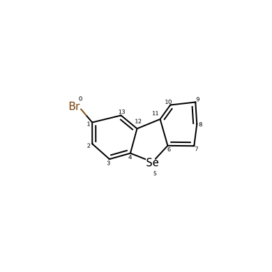 Brc1ccc2[se]c3ccccc3c2c1